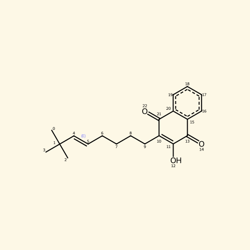 CC(C)(C)/C=C/CCCCC1=C(O)C(=O)c2ccccc2C1=O